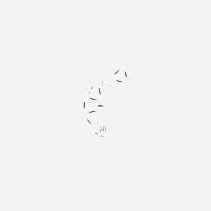 CS(=O)(=O)NC1C=Cc2ccc3ncc(NCc4ccccc4)cc3c(=O)c2C1